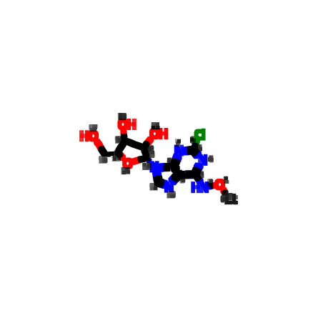 CCONc1nc(Cl)nc2c1ncn2[C@@H]1O[C@H](CO)C(O)C1O